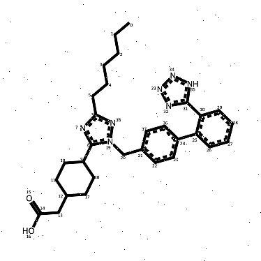 CCCCCCc1nc(C2CCC(CC(=O)O)CC2)n(Cc2ccc(-c3ccccc3-c3nnn[nH]3)cc2)n1